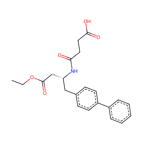 CCOC(=O)C[C@@H](Cc1ccc(-c2ccccc2)cc1)NC(=O)CCC(=O)O